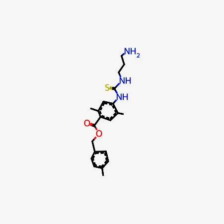 Cc1ccc(COC(=O)c2cc(C)c(NC(=S)NCCCN)cc2C)cc1